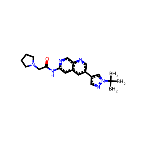 BC(B)(B)n1cc(-c2cnc3cnc(NC(=O)CN4CCCC4)cc3c2)cn1